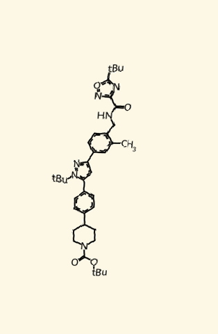 Cc1cc(-c2cc(-c3ccc(C4CCN(C(=O)OC(C)(C)C)CC4)cc3)n(C(C)(C)C)n2)ccc1CNC(=O)c1noc(C(C)(C)C)n1